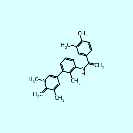 C=C(Nc1cccc(C2=CN(C)C(=C)C(C)=C2)c1C)c1ccc(C)c(C)c1